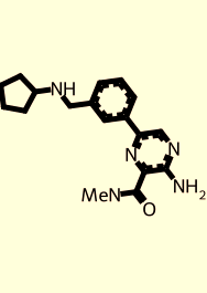 CNC(=O)c1nc(-c2cccc(CNC3CCCC3)c2)cnc1N